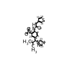 CC(C)C(c1ccc(NC(=O)Cc2ccsc2)c([N+](=O)[O-])c1)n1cncn1